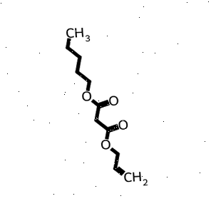 C=CCOC(=O)CC(=O)OCCCCC